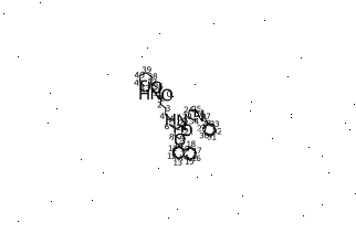 O=C(CCCCC=C(COc1cccc2ccccc12)C(=O)NC1CCN(Cc2ccccc2)C1)NOC1CCCCO1